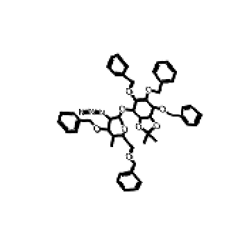 CC1C(COCc2ccccc2)OC(OC2C(OCc3ccccc3)C(OCc3ccccc3)C(OCc3ccccc3)C3OC(C)(C)OC23)C(N=[N+]=[N-])C1OCc1ccccc1